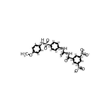 COc1ccc(NS(=O)(=O)c2ccc(NC(=S)NC(=O)c3cc([N+](=O)[O-])cc([N+](=O)[O-])c3)cc2)cc1